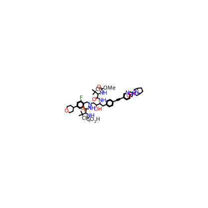 COC(=O)NC(C(=O)NC(Cc1ccc(C#Cc2ccc(N3CC4CCC(C3)N4C3COC3)nc2)cc1)C(O)CN(Cc1c(F)cc(C2CCOCC2)cc1F)NC(=O)C(NC(=O)O)C(C)(C)C(F)(F)F)C(C)(C)C(F)(F)F